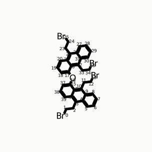 BrCCc1c2ccccc2c(CCBr)c2c(Oc3cccc4c(CCBr)c5ccccc5c(CCBr)c34)cccc12